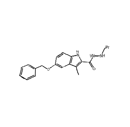 Cc1c(C(=O)NNC(C)C)[nH]c2ccc(OCc3ccccc3)cc12